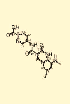 CNc1cc(F)cc2cc(C(=O)Nc3cnc(C(=O)O)nc3)c(=O)[nH]c12